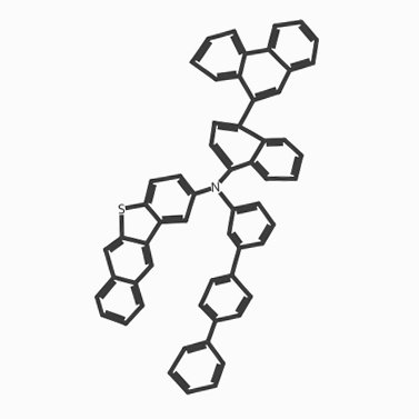 c1ccc(-c2ccc(-c3cccc(N(c4ccc5sc6cc7ccccc7cc6c5c4)c4ccc(-c5cc6ccccc6c6ccccc56)c5ccccc45)c3)cc2)cc1